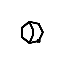 C1CC2CCC(CC2)[N]1